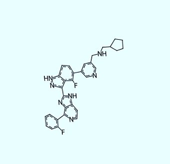 Fc1ccccc1-c1nccc2[nH]c(-c3n[nH]c4ccc(-c5cncc(CNCC6CCCC6)c5)c(F)c34)nc12